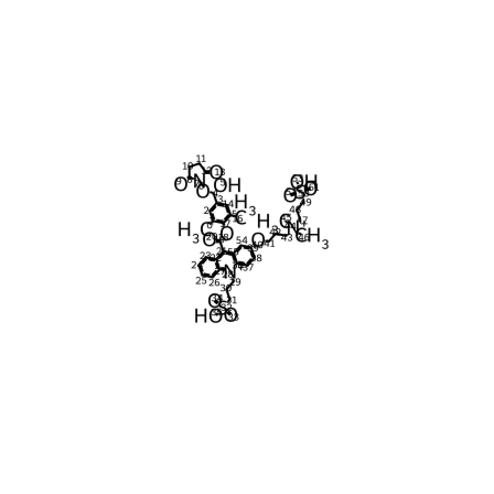 Cc1cc(C(O)ON2C(=O)CCC2=O)cc(C)c1OC(=O)c1c2ccccc2[n+](CCCS(=O)(=O)O)c2ccc(OCCC[N+](C)(C)CCCS(=O)(=O)O)cc12